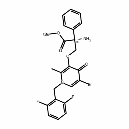 Cc1c(OC[C@@](N)(C(=O)OC(C)(C)C)c2ccccc2)c(=O)c(Br)cn1Cc1c(F)cccc1F